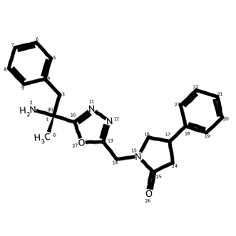 C[C@@](N)(Cc1ccccc1)c1nnc(CN2CC(c3ccccc3)CC2=O)o1